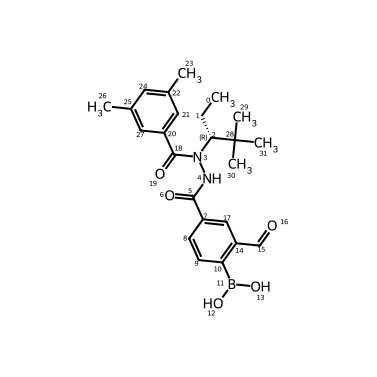 CC[C@@H](N(NC(=O)c1ccc(B(O)O)c(C=O)c1)C(=O)c1cc(C)cc(C)c1)C(C)(C)C